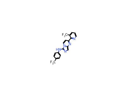 FC(F)(F)c1ccc(Nc2ncc3nc(-c4ncccc4C(F)(F)F)ccn23)cc1